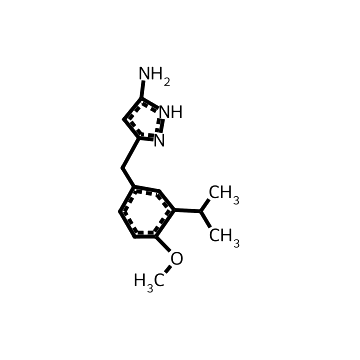 COc1ccc(Cc2cc(N)[nH]n2)cc1C(C)C